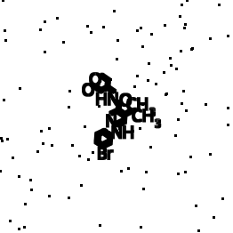 CC(C)c1cc(Nc2cccc(Br)c2)ncc1C(=O)NCC1CCOC(=O)C1